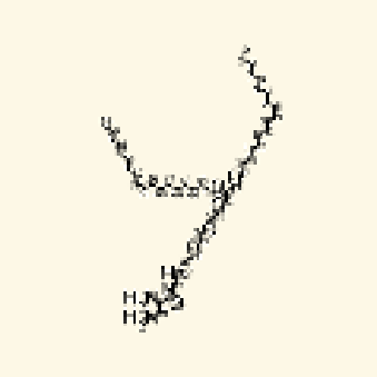 CCCCCCCC/C=C\CCCCCCCCOCC(COCCOCCOCCOCCNC(=O)/C(N)=C/N)OCCCCCCCC/C=C\CCCCCCCC